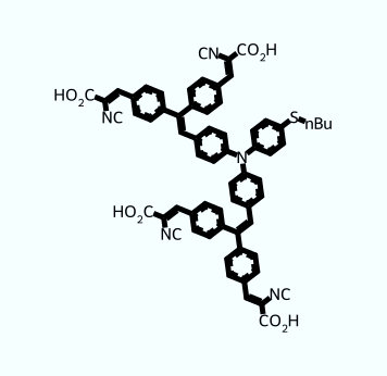 [C-]#[N+]/C(=C\c1ccc(C(=Cc2ccc(N(c3ccc(C=C(c4ccc(/C=C(\[N+]#[C-])C(=O)O)cc4)c4ccc(/C=C(\[N+]#[C-])C(=O)O)cc4)cc3)c3ccc(SCCCC)cc3)cc2)c2ccc(/C=C(\[N+]#[C-])C(=O)O)cc2)cc1)C(=O)O